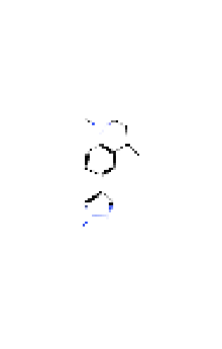 CC1CCN(C)c2ccc(-c3cnn(C)c3)cc21